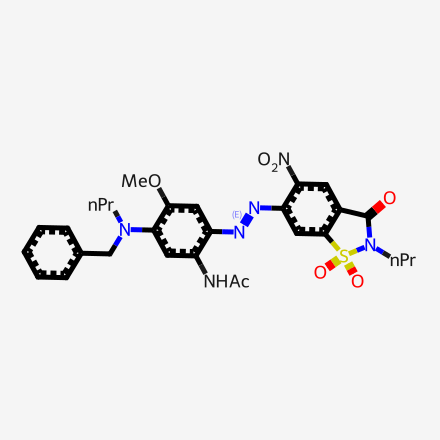 CCCN(Cc1ccccc1)c1cc(NC(C)=O)c(/N=N/c2cc3c(cc2[N+](=O)[O-])C(=O)N(CCC)S3(=O)=O)cc1OC